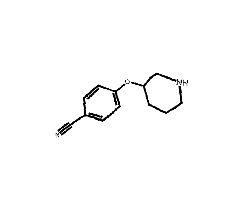 N#Cc1ccc(OC2CCCNC2)cc1